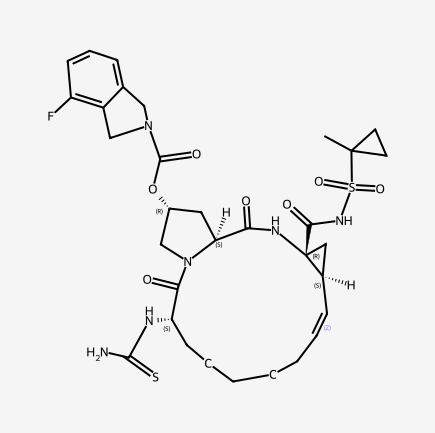 CC1(S(=O)(=O)NC(=O)[C@@]23C[C@H]2/C=C\CCCCC[C@H](NC(N)=S)C(=O)N2C[C@H](OC(=O)N4Cc5cccc(F)c5C4)C[C@H]2C(=O)N3)CC1